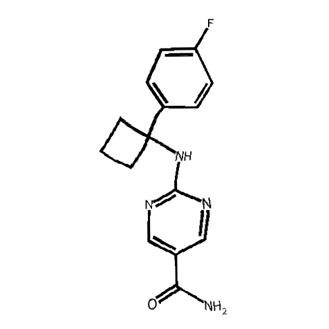 NC(=O)c1cnc(NC2(c3ccc(F)cc3)CCC2)nc1